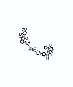 O=C(CN1CCN(c2ccc(Nc3ncc4ncc(=O)n(C5CCCC5)c4n3)cc2)CC1)NCCCCNc1cccc2c1C(=O)N(C1CCC(=O)NC1=O)C2=O